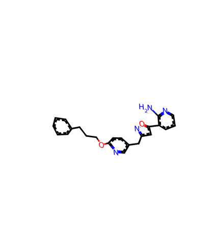 Nc1ncccc1-c1cc(Cc2ccc(OCCCc3ccccc3)nc2)no1